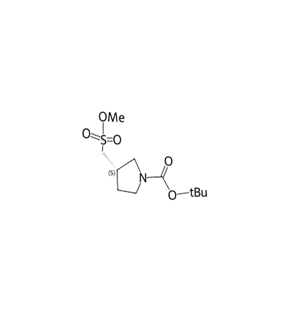 COS(=O)(=O)C[C@H]1CCN(C(=O)OC(C)(C)C)C1